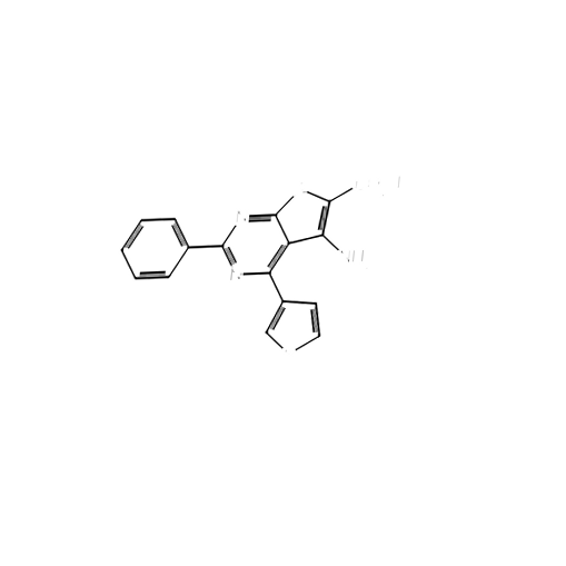 Nc1c(C(=O)O)sc2nc(-c3ccccc3)nc(-c3ccsc3)c12